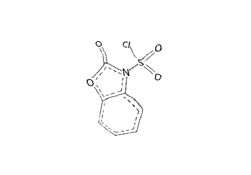 O=c1oc2ccccc2n1S(=O)(=O)Cl